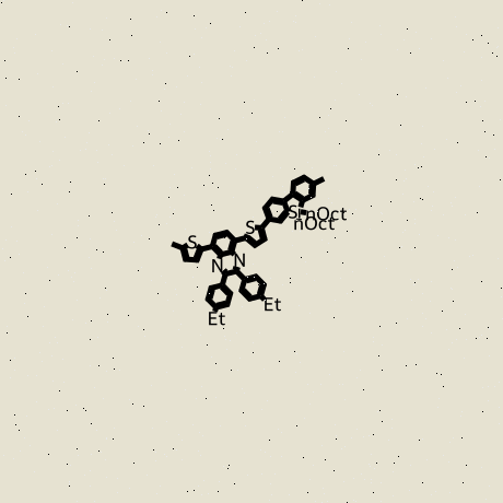 CCCCCCCC[Si]1(CCCCCCCC)c2cc(C)ccc2-c2ccc(-c3ccc(-c4ccc(-c5ccc(C)s5)c5nc(-c6ccc(CC)cc6)c(-c6ccc(CC)cc6)nc45)s3)cc21